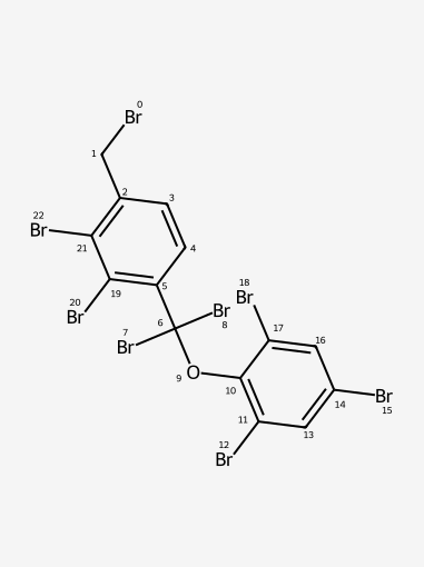 BrCc1ccc(C(Br)(Br)Oc2c(Br)cc(Br)cc2Br)c(Br)c1Br